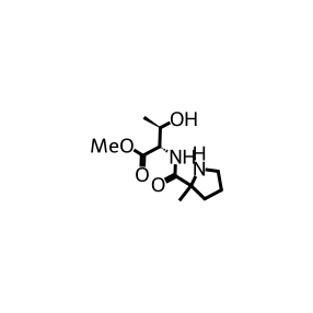 COC(=O)[C@@H](NC(=O)C1(C)CCCN1)[C@@H](C)O